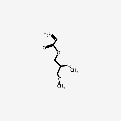 C=CC(=O)OCC(COC)OC